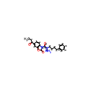 CCC(=O)c1ccc2c(c1)oc(=O)n2C(=O)N(N)CCCCc1ccccc1